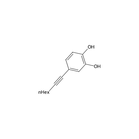 CCCCCCC#Cc1ccc(O)c(O)c1